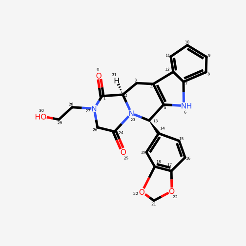 O=C1[C@H]2Cc3c([nH]c4ccccc34)[C@@H](c3ccc4c(c3)OCO4)N2C(=O)CN1CCO